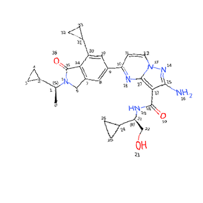 C[C@@H](C1CC1)N1Cc2cc(-c3ccn4nc(N)c(C(=O)N[C@@H](CO)C5CC5)c4n3)cc(C3CC3)c2C1=O